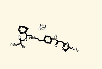 CCCCC(CC)C(=O)OC(CNCCc1ccc(NC(=O)Cc2nc(N)cs2)cc1)c1ccccc1.Cl.Cl